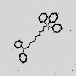 CP(CCCCCCCCP(c1ccccc1)c1ccccc1)(c1ccccc1)(c1ccccc1)c1ccccc1